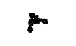 O=C1c2ccncc2C(=O)c2c(NCCN3CCOCC3)ccc(NCCN3CCOCC3)c21